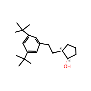 CC(C)(C)c1cc(CC[C@H]2CCC[C@@H]2O)cc(C(C)(C)C)c1